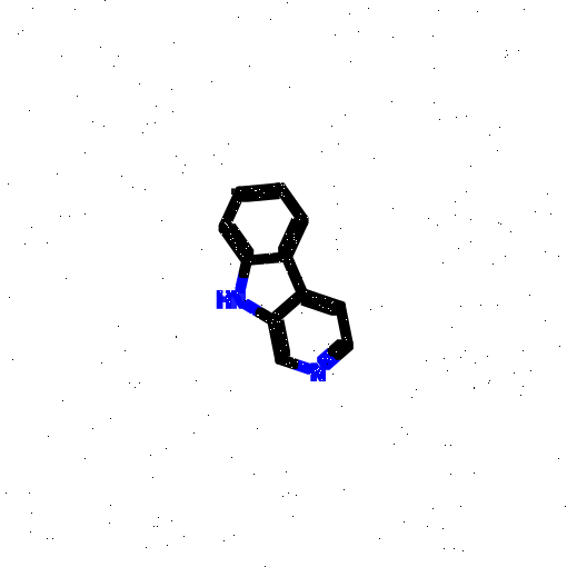 [c]1ccc2c(c1)[nH]c1cnccc12